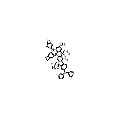 Cc1cc2c3c(c1)C(C)(C)c1cc4c(cc1B3c1cc3c(cc1N2c1ccc2c(c1)CC2)CC3)C(C)(C)c1cc(N(c2ccccc2)c2ccccc2)ccc1-4